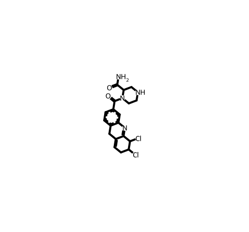 NC(=O)C1CNCCN1C(=O)c1ccc2c(c1)N=C1C(=CCC(Cl)C1Cl)C2